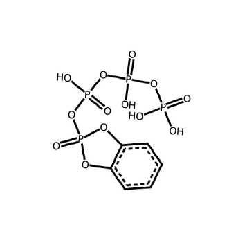 O=P(O)(O)OP(=O)(O)OP(=O)(O)OP1(=O)Oc2ccccc2O1